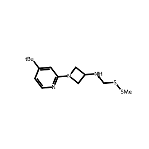 CSSCNC1CN(c2cc(C(C)(C)C)ccn2)C1